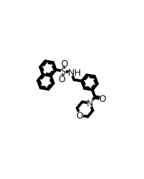 O=C(c1cccc(CNS(=O)(=O)c2cccc3ccccc23)c1)N1CCOCC1